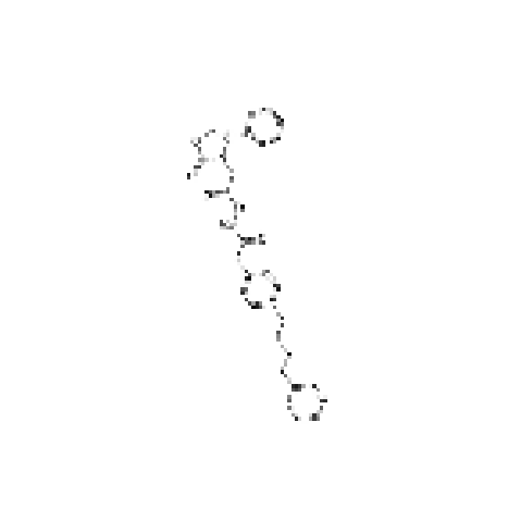 O=C(Cc1ccc(CCCCc2ccccc2)cc1)NOC(=O)CN1C(=O)OC[C@@H]1c1ccccc1